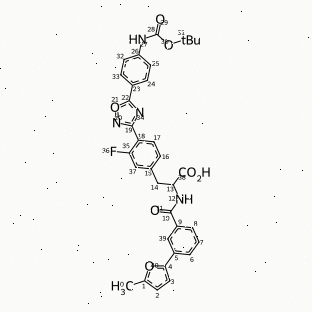 Cc1ccc(-c2cccc(C(=O)NC(Cc3ccc(-c4noc(-c5ccc(NC(=O)OC(C)(C)C)cc5)n4)c(F)c3)C(=O)O)c2)o1